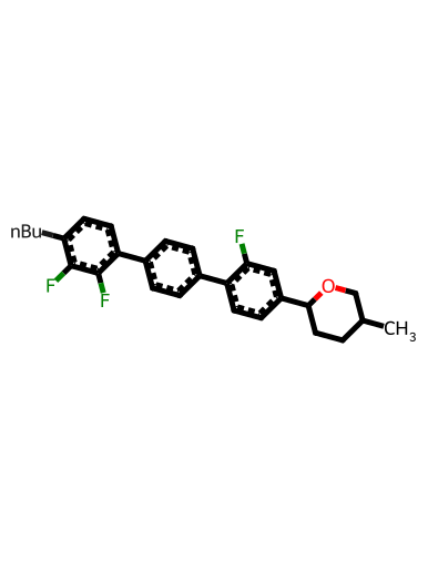 CCCCc1ccc(-c2ccc(-c3ccc(C4CCC(C)CO4)cc3F)cc2)c(F)c1F